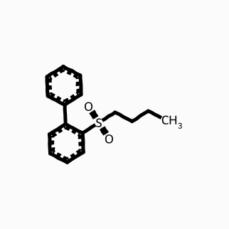 CCCCS(=O)(=O)c1ccccc1-c1ccccc1